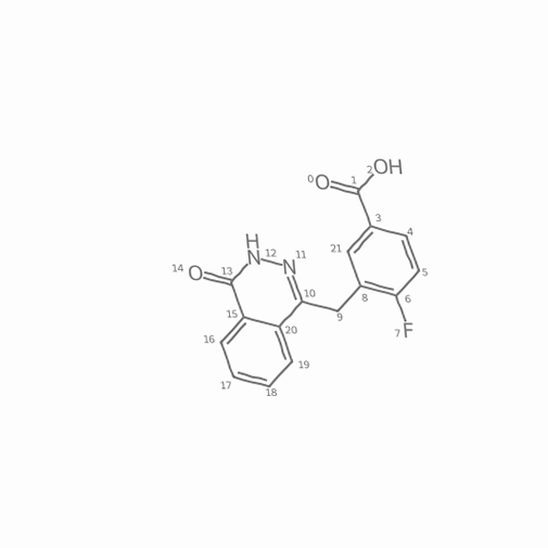 O=C(O)c1ccc(F)c(Cc2n[nH]c(=O)c3ccccc23)c1